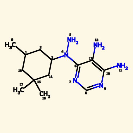 CC1CC(N(N)c2ncnc(N)c2N)CC(C)(C)C1